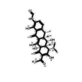 C[C@H]1c2ccc(NC=O)c(O)c2C(=O)C2=C(O)[C@]3(O)C(=O)C(C(N)=O)=C(O)[C@@H](N(C)C)[C@@H]3[C@@H](O)[C@@H]21